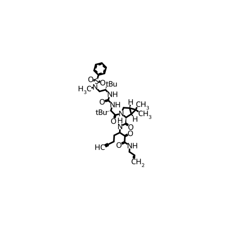 C#CCCC(NC(=O)[C@@H]1[C@@H]2[C@H](CN1C(=O)[C@@H](NC(=O)N[C@H](CN(C)S(=O)(=O)c1ccccc1)C(C)(C)C)C(C)(C)C)C2(C)C)C(=O)C(=O)NCC=C